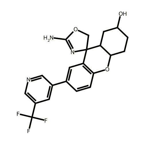 NC1=NC2(CO1)c1cc(-c3cncc(C(F)(F)F)c3)ccc1OC1CCC(O)CC12